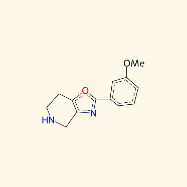 COc1cccc(-c2nc3c(o2)CCNC3)c1